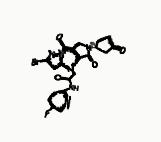 O=C1CC[C@@H](N2Cc3c(n(CC(=O)Nc4ccc(F)cn4)c4cc(Br)nn4c3=O)C2=O)C1